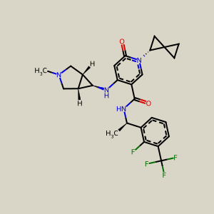 C[C@@H](NC(=O)c1cn([C@@H]2CC23CC3)c(=O)cc1N[C@H]1[C@@H]2CN(C)C[C@@H]21)c1cccc(C(F)(F)F)c1F